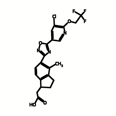 Cc1c(-c2noc(-c3cnc(OCC(F)(F)F)c(Cl)c3)n2)ccc2c1CCC2CC(=O)O